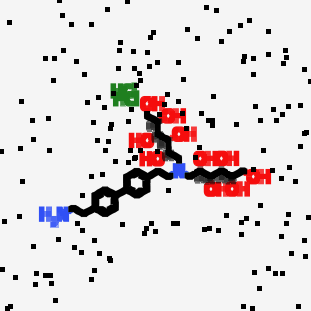 Cl.Cl.NCCc1ccc(-c2ccc(CCN(C[C@H](O)[C@@H](O)[C@H](O)[C@H](O)CO)C[C@H](O)[C@@H](O)[C@H](O)[C@H](O)CO)cc2)cc1